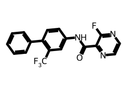 O=C(Nc1ccc(-c2ccccc2)c(C(F)(F)F)c1)c1nccnc1F